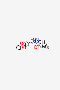 CNC(=O)c1c(C)nn2ccc(C3CCN(S(=O)(=O)c4ccccc4)CC3)cc12